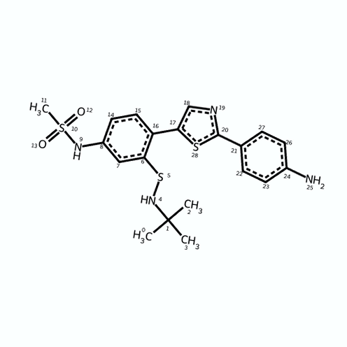 CC(C)(C)NSc1cc(NS(C)(=O)=O)ccc1-c1cnc(-c2ccc(N)cc2)s1